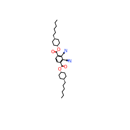 CCCCCC[C@H]1CC[C@H](OC(=O)c2ccc(C(=O)O[C@H]3CC[C@H](CCCCCC)CC3)c(C#N)c2C#N)CC1